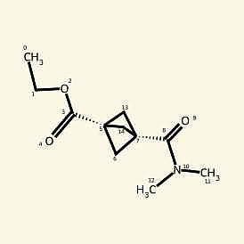 CCOC(=O)[C@]12C[C@](C(=O)N(C)C)(C1)C2